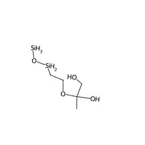 CC(O)(CO)OCC[SiH2]O[SiH3]